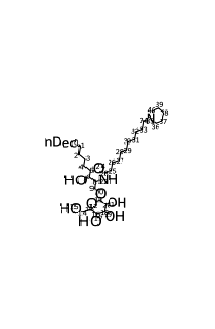 CCCCCCCCCCCCCCC[C@@H](O)[C@H](COC1OC(CO)C(O)C(O)C1O)NC(=O)CCCCCCCCCCN1CCCCC1